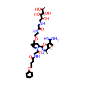 C[C@H](O)[C@H](O)[C@@H](O)[C@@H](O)CNCC(=O)NCCOCC12CC(C(=O)N[C@H](C)c3cc(C(=N)N)cs3)N(C(=O)CNC(=O)CCCOc3ccccc3)C1C2